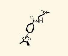 C=C1OB(c2ccc(C(=O)NCCN(C)C)cc2)OC1=C